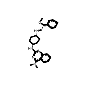 CO[C@@H](CN[C@H]1CC[C@@H](Nc2nc(N(C)C)c3ccccc3n2)CC1)c1ccccc1